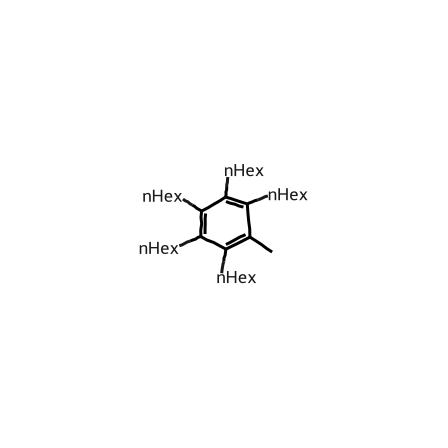 CCCCCCc1c(C)c(CCCCCC)c(CCCCCC)c(CCCCCC)c1CCCCCC